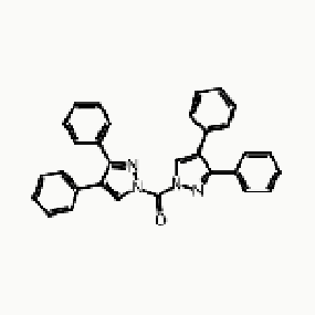 O=C(n1cc(-c2ccccc2)c(-c2ccccc2)n1)n1cc(-c2ccccc2)c(-c2ccccc2)n1